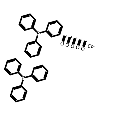 [C]=O.[C]=O.[C]=O.[C]=O.[C]=O.[Co].c1ccc(P(c2ccccc2)c2ccccc2)cc1.c1ccc(P(c2ccccc2)c2ccccc2)cc1